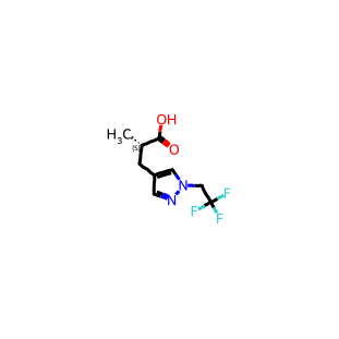 C[C@@H](Cc1cnn(CC(F)(F)F)c1)C(=O)O